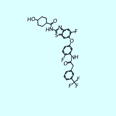 O=C(Cc1cccc(C(F)(F)F)c1)Nc1cc(Oc2cc3sc(NC(=O)C4CCC(O)CC4)nc3cc2F)ccc1F